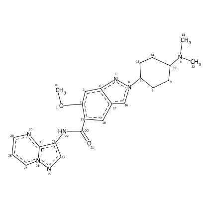 COc1cc2nn(C3CCC(N(C)C)CC3)cc2cc1C(=O)Nc1cnn2cccnc12